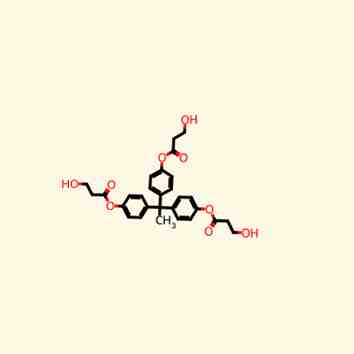 CC(c1ccc(OC(=O)CCO)cc1)(c1ccc(OC(=O)CCO)cc1)c1ccc(OC(=O)CCO)cc1